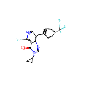 O=c1c2c(F)ncc(-c3ccc(C(F)(F)F)cc3)c2ncn1C1CC1